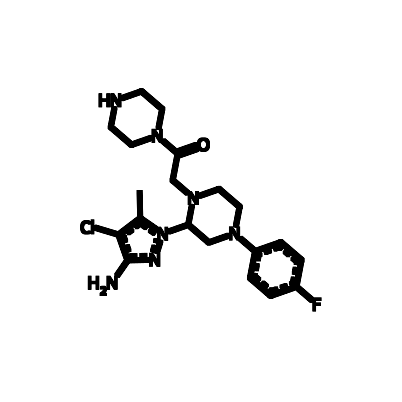 Cc1c(Cl)c(N)nn1C1CN(c2ccc(F)cc2)CCN1CC(=O)N1CCNCC1